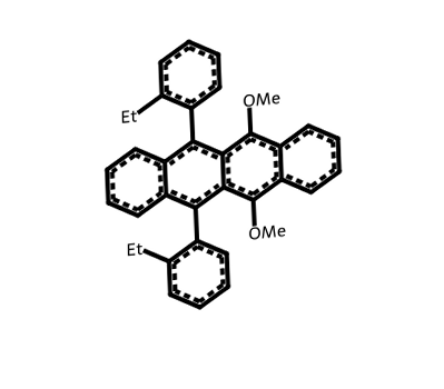 CCc1ccccc1-c1c2ccccc2c(-c2ccccc2CC)c2c(OC)c3ccccc3c(OC)c12